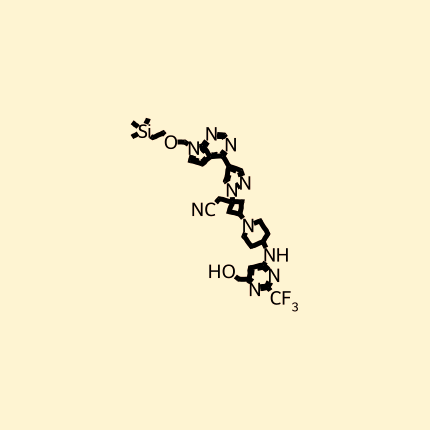 C[Si](C)(C)CCOCn1ccc2c(-c3cnn(C4(CC#N)CC(N5CCC(Nc6cc(CO)nc(C(F)(F)F)n6)CC5)C4)c3)ncnc21